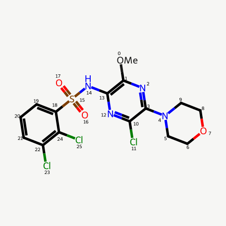 COc1nc(N2CCOCC2)c(Cl)nc1NS(=O)(=O)c1cccc(Cl)c1Cl